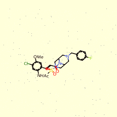 COc1cc(C=CC(=O)N2C3CN(Cc4ccc(F)cc4)CC2CN(S(C)(=O)=O)C3)c(NC(C)=O)cc1Cl